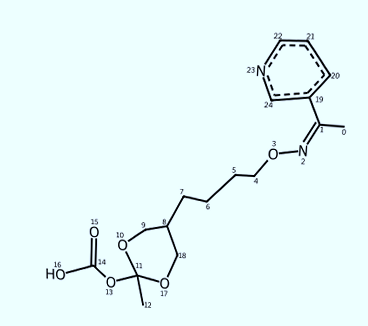 CC(=NOCCCCC1COC(C)(OC(=O)O)OC1)c1cccnc1